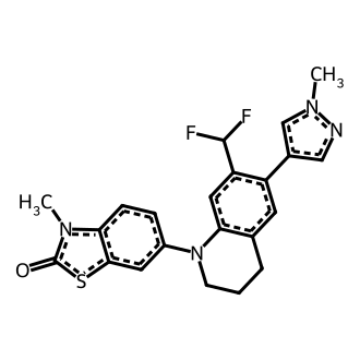 Cn1cc(-c2cc3c(cc2C(F)F)N(c2ccc4c(c2)sc(=O)n4C)CCC3)cn1